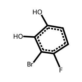 Oc1ccc(F)c(Br)c1O